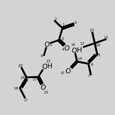 C=C(C)C(=O)OC.CC(=CC(C)(C)C)C(=O)O.CC=C(C)C(=O)O